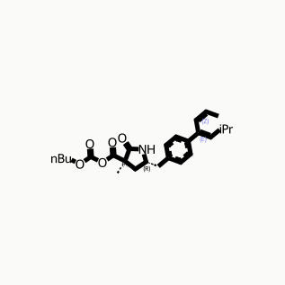 C/C=C\C(=C/C(C)C)c1ccc(C[C@@H]2C[C@@](C)(C(=O)OC(=O)OCCCC)C(=O)N2)cc1